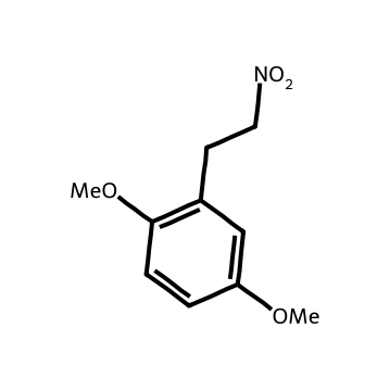 COc1ccc(OC)c(CC[N+](=O)[O-])c1